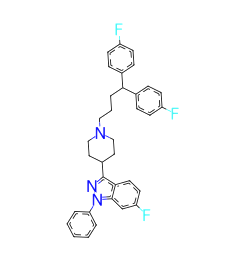 Fc1ccc(C(CCCN2CCC(c3nn(-c4ccccc4)c4cc(F)ccc34)CC2)c2ccc(F)cc2)cc1